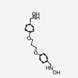 ONCc1ccc(OCCCOc2ccc(CNO)cc2)cc1